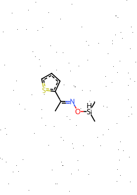 CC(=NO[SiH](C)C)c1cccs1